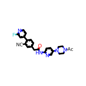 CC(=O)N1CCN(c2ccc(NC(=O)Cc3ccc(-c4ccnc(F)c4)c(C#N)c3)nc2)CC1